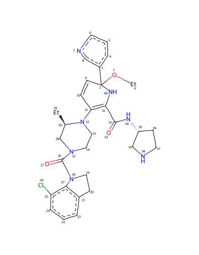 CCOC1(c2cccnc2)C=CC(N2CCN(C(=O)N3CCc4cccc(Cl)c43)C[C@H]2CC)=C(C(=O)N[C@@H]2CCNC2)N1